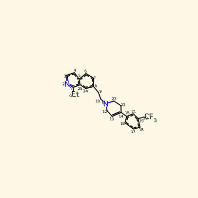 CCc1nccc2ccc(CCN3CC=C(c4cccc(C(F)(F)F)c4)CC3)cc12